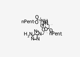 CCCCCOC(=O)[C@@H](C)N(C)[P@@](=O)(CO[C@H](C)Cn1cnc2c(N)ncnc21)NC(C)(C)C(=O)OCCCCC